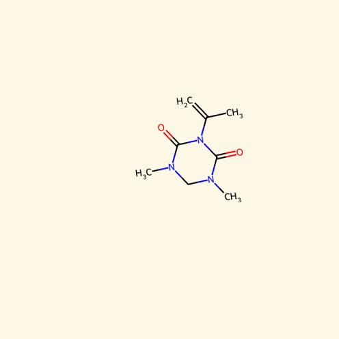 C=C(C)N1C(=O)N(C)CN(C)C1=O